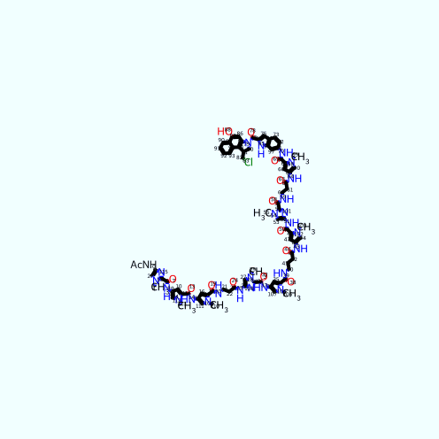 CC(=O)Nc1cn(C)c(C(=O)Nc2cc(C(=O)Nc3cc(C(=O)NCCC(=O)Nc4cn(C)c(C(=O)Nc5cc(C(=O)NCCCC(=O)Nc6cc(C(=O)Nc7cn(C)c(C(=O)NCCC(=O)Nc8cc(C(=O)Nc9ccc%10cc(C(=O)N%11CC(CCl)c%12c%11cc(O)c%11ccccc%12%11)[nH]c%10c9)n(C)c8)n7)n(C)c6)n(C)c5)n4)n(C)c3)n(C)c2)n1